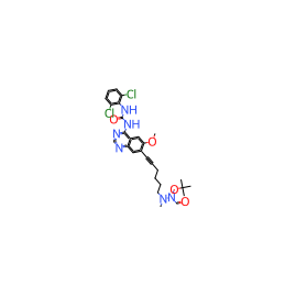 COc1cc2c(NC(=O)Nc3c(Cl)cccc3Cl)ncnc2cc1C#CCCCCN(C)N(C=O)OC(C)(C)C